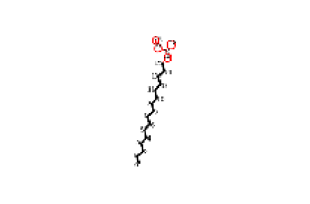 CCCCCCCCCCCCCCCCOC(=O)O[O]